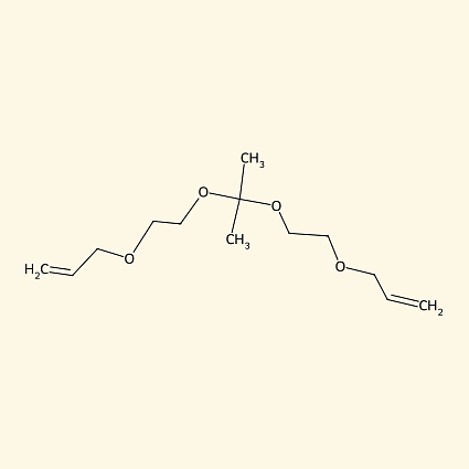 C=CCOCCOC(C)(C)OCCOCC=C